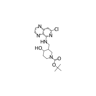 CC(C)(C)OC(=O)N1CCC(O)C(CNc2nc(Cl)cc3nccnc23)C1